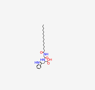 CCCCCCCCCCCCCCCC(=O)NCC(=O)NC(Cc1c[nH]c2ccccc12)C(=O)O